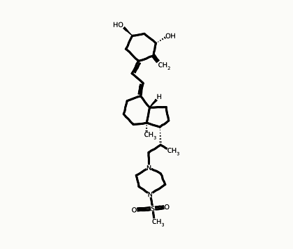 C=C1C(=CC=C2CCC[C@]3(C)[C@@H](C(C)CN4CCN(S(C)(=O)=O)CC4)CC[C@@H]23)C[C@@H](O)C[C@@H]1O